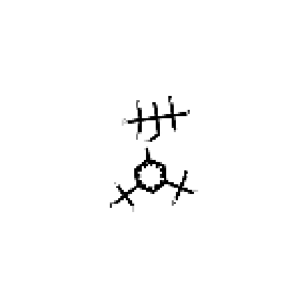 CC(COc1cc(C(F)(F)F)cc(C(F)(F)F)c1)(C(F)(F)F)C(F)(F)F